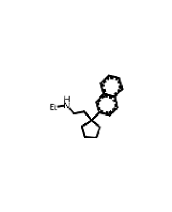 CCNCCC1(c2ccc3ccccc3c2)CCCC1